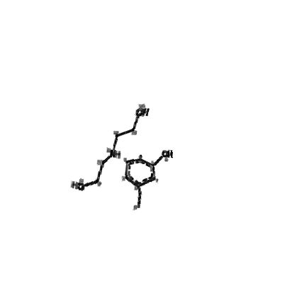 Cc1cccc(O)c1.OCCNCCO